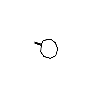 S=C1[CH]CCCCCCC1